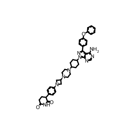 Nc1ncnc2c1c(-c1ccc(Oc3ccccc3)cc1)nn2C1CCC(N2CCN(C3CN(c4ccc(C5CCC(=O)NC5=O)cc4)C3)CC2)CC1